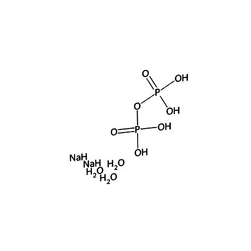 O.O.O.O=P(O)(O)OP(=O)(O)O.[NaH].[NaH]